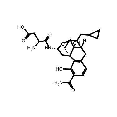 NC(=O)c1ccc2c(c1O)[C@]13CCC(CC4CC4)[C@H](C2)[C@]1(O)CC[C@@H](NC(=O)[C@@H](N)CC(=O)O)C3